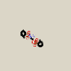 Cc1ccccc1S(=O)(=O)NCCOS(=O)(=O)c1ccccc1C